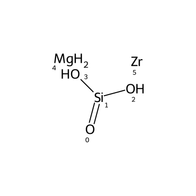 O=[Si](O)O.[MgH2].[Zr]